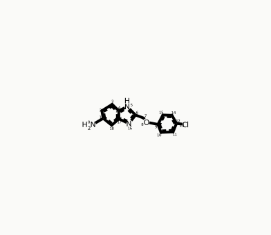 Nc1ccc2[nH]c(COc3ccc(Cl)cc3)nc2c1